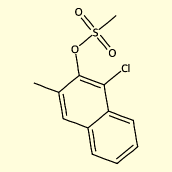 Cc1cc2ccccc2c(Cl)c1OS(C)(=O)=O